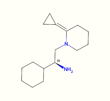 N[C@H](CN1CCCCC1=C1CC1)C1CCCCC1